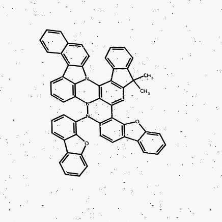 CC1(C)c2ccccc2-c2c1cc1c3c2-n2c4ccc5ccccc5c4c4cccc(c42)B3N(c2cccc3c2oc2ccccc23)c2ccc3c(oc4ccccc43)c2-1